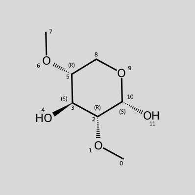 CO[C@@H]1[C@@H](O)[C@H](OC)CO[C@@H]1O